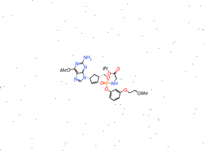 COCCOc1cccc(OP(=O)(N[C@@H](C)C(=O)OC(C)C)OC[C@@H]2C=C[C@H](n3cnc4c(OC)nc(N)nc43)C2)c1